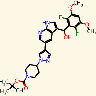 COc1cc(OC)c(F)c(C(O)c2c[nH]c3ncc(-c4cnn(C5CCN(C(=O)OC(C)(C)C)CC5)c4)cc23)c1F